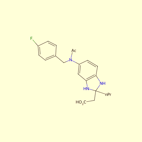 CCCC1(CC(=O)O)Nc2ccc(N(Cc3ccc(F)cc3)C(C)=O)cc2N1